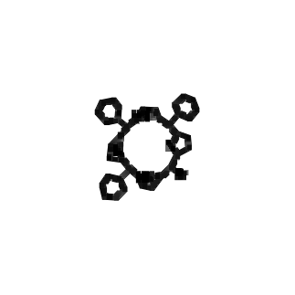 Brc1c2nc(c(-c3ccccc3)c3ccc([nH]3)c(-c3ccccc3)c3nc(c(-c4ccccc4)c4ccc1[nH]4)C=C3)C=C2